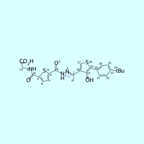 C/C(=N\NC(=O)c1ccc(C(=O)NCC(=O)O)s1)c1csc(-c2ccc(C(C)(C)C)cc2)c1O